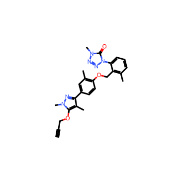 C#CCOc1c(C)c(-c2ccc(OCc3c(C)cccc3-n3nnn(C)c3=O)c(C)c2)nn1C